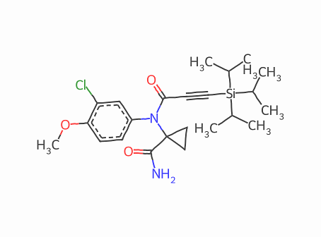 COc1ccc(N(C(=O)C#C[Si](C(C)C)(C(C)C)C(C)C)C2(C(N)=O)CC2)cc1Cl